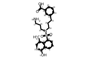 Cc1cnc(O)c2cccc(S(=O)(=O)N(CCCN)CCCc3cccc(C(=O)O)c3)c12